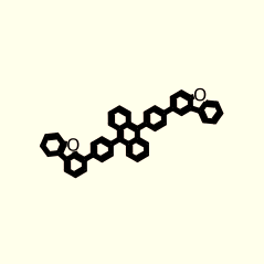 C1=Cc2oc3c(-c4ccc(-c5c6ccccc6c(-c6ccc(-c7ccc8oc9ccccc9c8c7)cc6)c6ccccc56)cc4)cccc3c2CC1